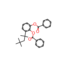 CC(C)(C)CC(C)(C)c1cccc(OC(=O)c2ccccc2)c1OC(=O)c1ccccc1